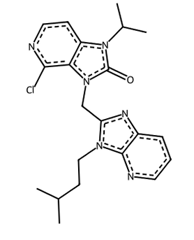 CC(C)CCn1c(Cn2c(=O)n(C(C)C)c3ccnc(Cl)c32)nc2cccnc21